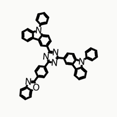 c1ccc(-n2c3ccccc3c3cc(-c4nc(-c5ccc(-c6nc7ccccc7o6)cc5)nc(-c5ccc6c(c5)c5ccccc5n6-c5ccccc5)n4)ccc32)cc1